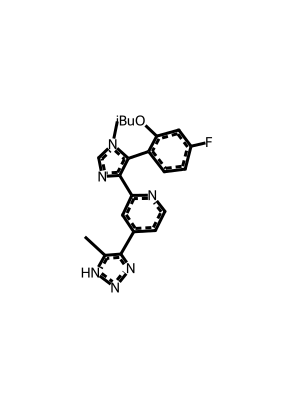 Cc1[nH]nnc1-c1ccnc(-c2ncn(C)c2-c2ccc(F)cc2OCC(C)C)c1